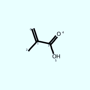 [CH]=C(C)C(=O)O